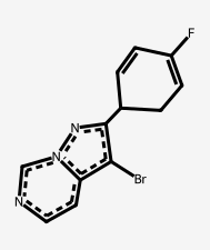 FC1=CCC(c2nn3cnccc3c2Br)C=C1